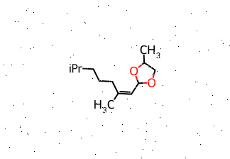 CC(=CC1OCC(C)O1)CCCC(C)C